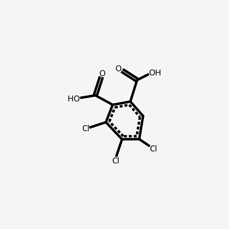 O=C(O)c1cc(Cl)c(Cl)c(Cl)c1C(=O)O